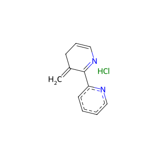 C=C1CC=CN=C1c1ccccn1.Cl